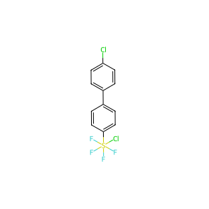 FS(F)(F)(F)(Cl)c1ccc(-c2ccc(Cl)cc2)cc1